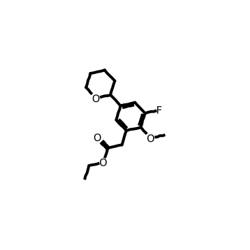 CCOC(=O)Cc1cc(C2CCCCO2)cc(F)c1OC